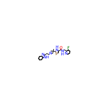 CC1(C2NC(C(=O)NCc3ncccc3F)=CS2)CN(CCc2nc3ccccc3[nH]2)C1